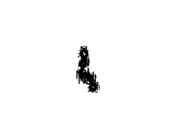 CN1CCN(c2ccc(-c3cnc(N)c(-c4nnc(-c5ccccc5)o4)n3)cn2)CC1